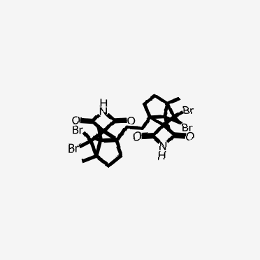 CC1(C)C2(C)CCC1(CCC13CCC(C)(C1(C)C)C(Br)(Br)C31C(=O)NC1=O)C1(C(=O)NC1=O)C2(Br)Br